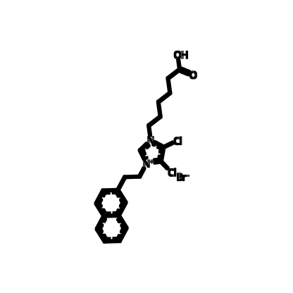 O=C(O)CCCCCn1c[n+](CCc2ccc3ccccc3c2)c(Cl)c1Cl.[Br-]